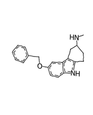 CNC1CCc2[nH]c3ccc(OCc4ccccc4)cc3c2C1